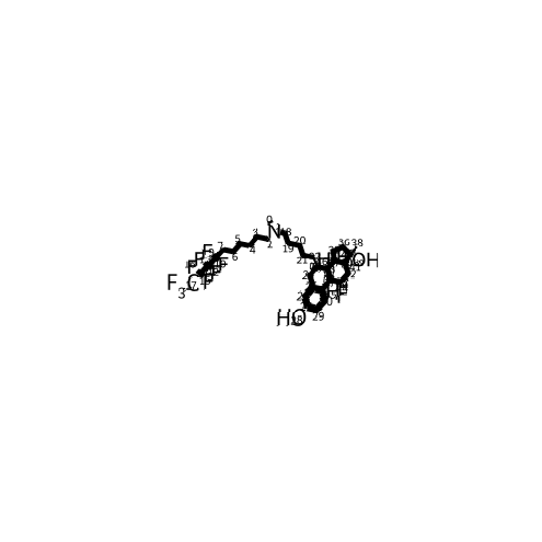 CN(CCCCCCC(F)(F)C(F)(F)C(F)(F)C(F)(F)F)CCCCC[C@@H]1Cc2cc(O)ccc2[C@H]2[C@@H]1[C@@H]1CC[C@](C)(O)[C@@]1(C)C[C@@H]2F